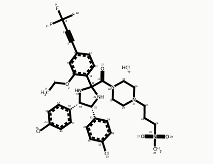 CCOc1cc(C#CC(F)(F)F)ccc1C1(C(=O)N2CCN(CCCS(C)(=O)=O)CC2)N[C@H](c2ccc(Cl)cc2)[C@H](c2ccc(Cl)cc2)N1.Cl